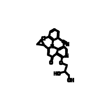 Cc1cnc(OCC(O)CO)c2c(=O)cc(C3CC3)n(-c3c(Cl)cccc3C#N)c12